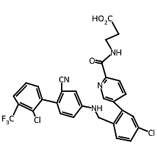 N#Cc1cc(NCc2ccc(Cl)cc2-c2ccc(C(=O)NCCC(=O)O)nc2)ccc1-c1cccc(C(F)(F)F)c1Cl